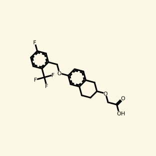 O=C(O)COC1CCc2cc(OCc3cc(F)ccc3C(F)(F)F)ccc2C1